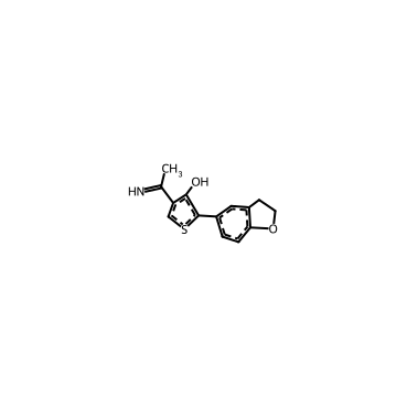 CC(=N)c1csc(-c2ccc3c(c2)CCO3)c1O